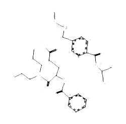 CCCN(CCC)C(=O)C(CCC(=O)O)NC(=O)c1ccccc1.CNNCc1ccc(C(=O)NC(C)C)cc1